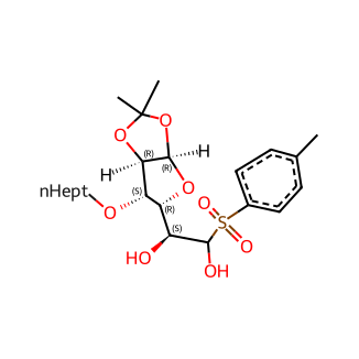 CCCCCCCO[C@@H]1[C@H]2OC(C)(C)O[C@H]2O[C@@H]1[C@H](O)C(O)S(=O)(=O)c1ccc(C)cc1